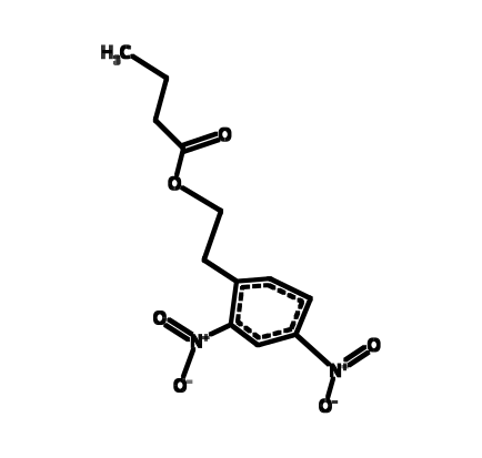 CCCC(=O)OCCc1ccc([N+](=O)[O-])cc1[N+](=O)[O-]